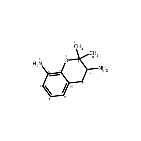 CC1(C)Oc2c(N)cccc2CC1N